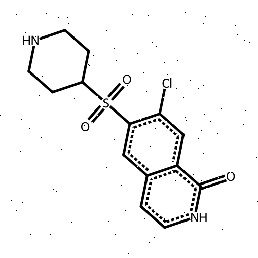 O=c1[nH]ccc2cc(S(=O)(=O)C3CCNCC3)c(Cl)cc12